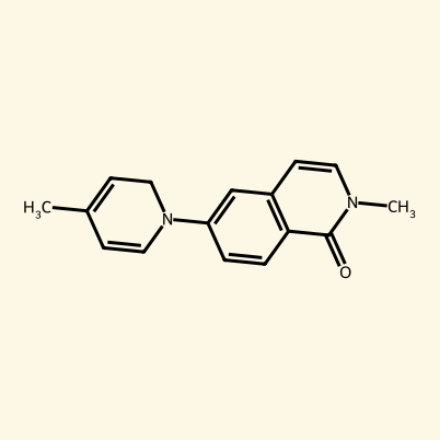 CC1=CCN(c2ccc3c(=O)n(C)ccc3c2)C=C1